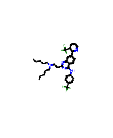 CCCCCN(CCCCC)CCc1nc(Nc2ccc(C(F)(F)F)cc2)c2ccc(-c3ncccc3C(F)(F)F)cc2n1